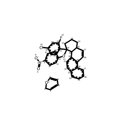 C1=CCOC=C1.O=[N+]([O-])c1ccc(OC2(c3ccc(Cl)cc3F)CCCC3C=Cc4c(ccc5ccccc45)C32)cc1